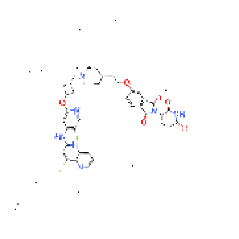 O=C1CCC(N2C(=O)c3ccc(OCCC4CCN(CC5CC(Oc6cc(Nc7cc(F)c8ncccc8n7)c(F)cn6)C5)CC4)cc3C2=O)C(=O)N1